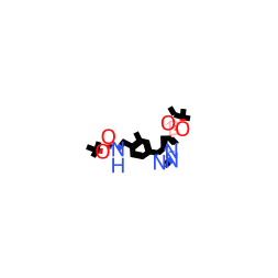 Cc1cc(-c2ncnn3cc(B4OC(C)C(C)(C)O4)cc23)ccc1CNC(=O)OC(C)(C)C